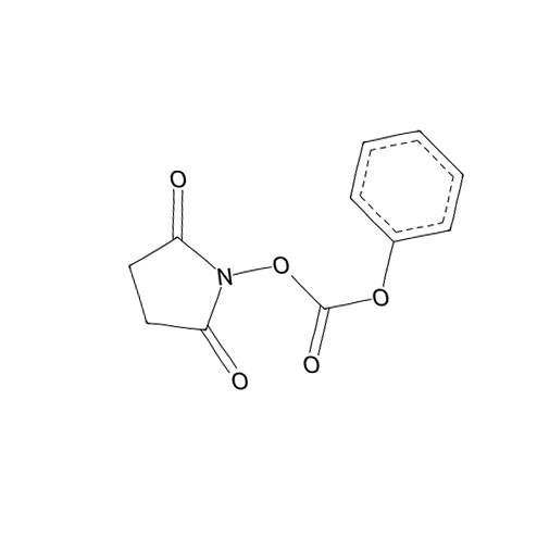 O=C(Oc1ccccc1)ON1C(=O)CCC1=O